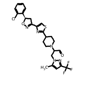 Cc1cc(C(F)(F)F)nn1CC(C=O)N1CCC(c2nc(C3=NO[C@@H](c4ccccc4Cl)C3)cs2)CC1